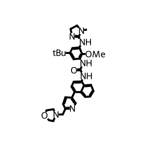 COc1c(NC(=O)Nc2ccc(-c3ccc(CN4CCOCC4)nc3)c3ccccc23)cc(C(C)(C)C)cc1NC1=NCCN1C